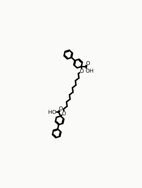 O=C(O)C1(OCCCCCCCCCCCOC2(C(=O)O)C=CC(c3ccccc3)=CC2)C=CC(c2ccccc2)=CC1